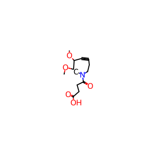 COC1C#CCCN(C(=O)CCC(=O)O)CC1OC